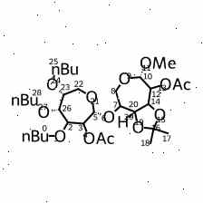 CCCCOC1C(OC(C)=O)[C@@H](OC2CO[C@H](OC)C(OC(C)=O)C3OC(C)(C)O[C@H]23)OC[C@@H](OCCCC)[C@H]1OCCCC